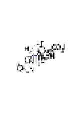 C[C@H]1NS(=O)(=O)[C@]2(CCC(=O)O)CC(F)(F)[C@@H](C)[C@H](/C=C/c3ccc(-c4ccccc4C#N)cn3)[C@H]12